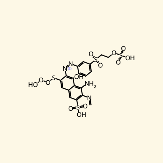 C=Nc1c(S(=O)(=O)O)cc2cc(SOOO)c(/N=N\c3cccc(S(=O)(=O)CCOS(=O)(=O)O)c3)c(O)c2c1N